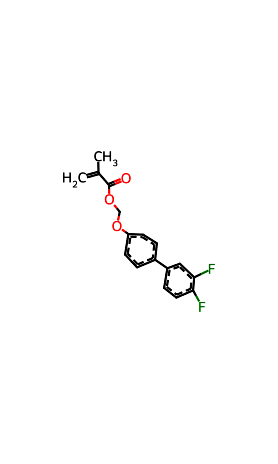 C=C(C)C(=O)OCOc1ccc(-c2ccc(F)c(F)c2)cc1